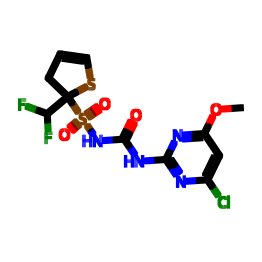 COc1cc(Cl)nc(NC(=O)NS(=O)(=O)C2(C(F)F)CC=CS2)n1